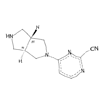 N#Cc1nccc(N2C[C@H]3CNC[C@@H]3C2)n1